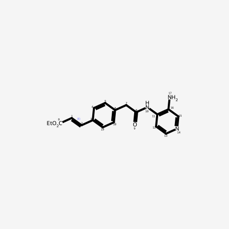 CCOC(=O)/C=C/c1ccc(CC(=O)Nc2ccncc2N)cc1